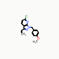 C=Cc1nn(Cc2ccc(OC)cc2)c2nc(Cl)ccc12